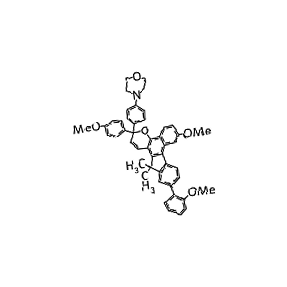 COc1ccc(C2(c3ccc(N4CCOCC4)cc3)C=Cc3c4c(c5cc(OC)ccc5c3O2)-c2ccc(-c3ccccc3OC)cc2C4(C)C)cc1